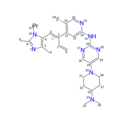 C=C/C(=C\c1c(C)nc(C)n1C(C)C)c1cc(Nc2ncc(N3CCC(N(C)C)CC3)cn2)ncc1F